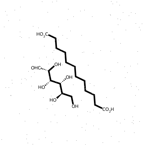 O=C(O)CCCCCCCCCCC(=O)O.O=C[C@H](O)[C@@H](O)[C@H](O)[C@H](O)CO